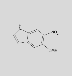 COc1cc2cc[nH]c2cc1[N+](=O)[O-]